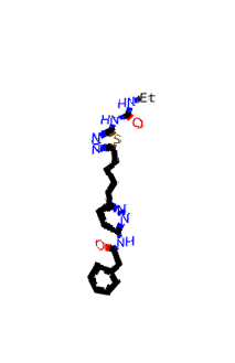 CCNC(=O)Nc1nnc(CCCCc2ccc(NC(=O)Cc3ccccc3)nn2)s1